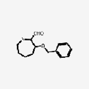 O=CC1NCCCCC1OCc1ccccc1